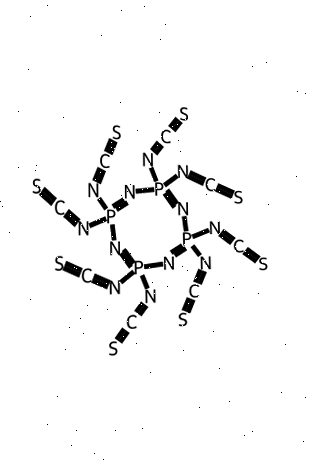 S=C=NP1(N=C=S)=NP(N=C=S)(N=C=S)=NP(N=C=S)(N=C=S)=NP(N=C=S)(N=C=S)=N1